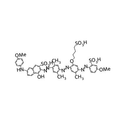 COc1ccc(Nc2ccc3c(O)c(N=Nc4cc(C)c(N=Nc5cc(C)c(N=Nc6ccc(OC)cc6S(=O)(=O)O)cc5OCCCCS(=O)(=O)O)cc4C)c(S(=O)(=O)O)cc3c2)cc1